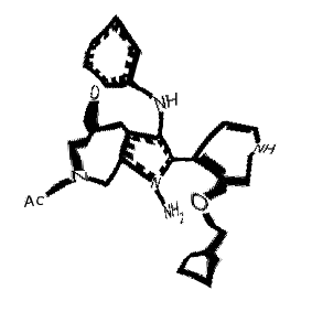 CC(=O)N1CC(=O)c2c(Nc3ccccc3)c(C3=C(OCC4CC4)CNC=C3)n(N)c2C1